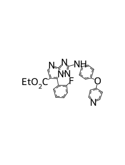 CCOC(=O)c1cnc2nc(Nc3ccc(Oc4ccncc4)cc3)nn2c1-c1ccccc1F